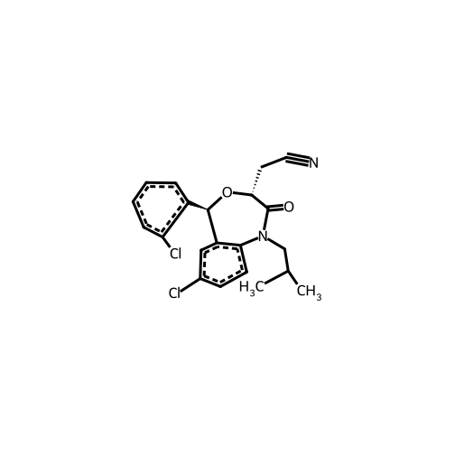 CC(C)CN1C(=O)[C@@H](CC#N)O[C@H](c2ccccc2Cl)c2cc(Cl)ccc21